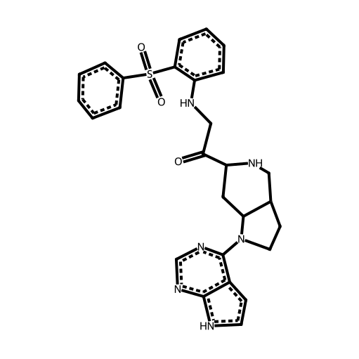 O=C(CNc1ccccc1S(=O)(=O)c1ccccc1)C1CC2C(CCN2c2ncnc3[nH]ccc23)CN1